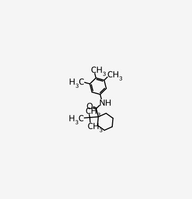 Cc1cc(NC(=O)C2(C(C)(C)C)CCCCC2)cc(C)c1C